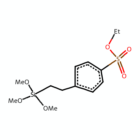 CCOS(=O)(=O)c1ccc(CC[Si](OC)(OC)OC)cc1